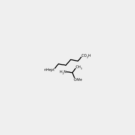 CCCCCCCCCCCC(=O)O.COC(C)N